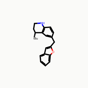 CC(C)(C)C1CCNc2ccc(Cc3cc4ccccc4o3)cc21